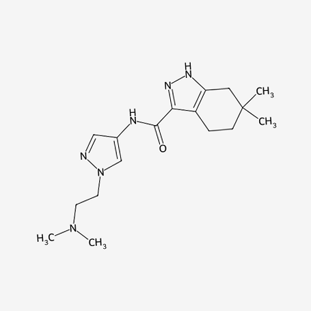 CN(C)CCn1cc(NC(=O)c2n[nH]c3c2CCC(C)(C)C3)cn1